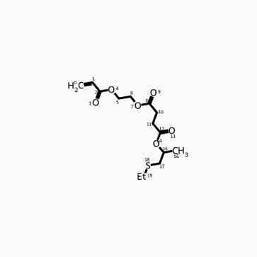 C=CC(=O)OCCOC(=O)CCC(=O)OC(C)CSCC